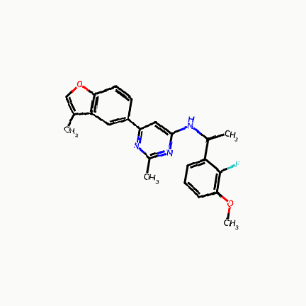 COc1cccc(C(C)Nc2cc(-c3ccc4occ(C)c4c3)nc(C)n2)c1F